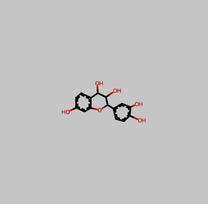 Oc1ccc2c(c1)OC(c1ccc(O)c(O)c1)C(O)C2O